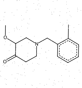 COC1CN(Cc2ccccc2I)CCC1=O